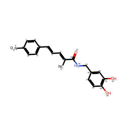 N#C/C(=C\C=C\c1ccc([N+](=O)[O-])cc1)C(=O)NCc1ccc(O)c(O)c1